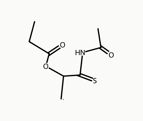 [CH2]C(OC(=O)CC)C(=S)NC(C)=O